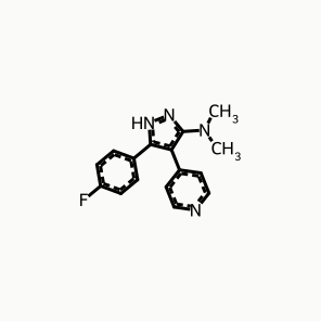 CN(C)c1n[nH]c(-c2ccc(F)cc2)c1-c1ccncc1